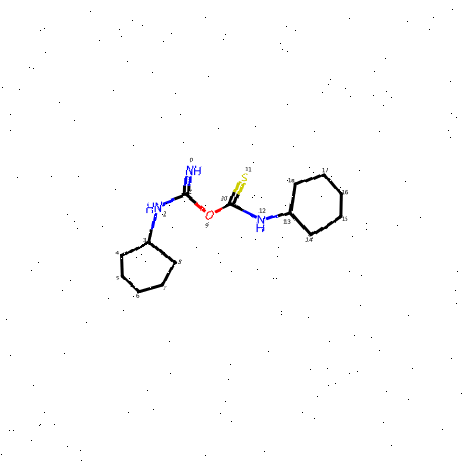 N=C(NC1CCCCC1)OC(=S)NC1CCCCC1